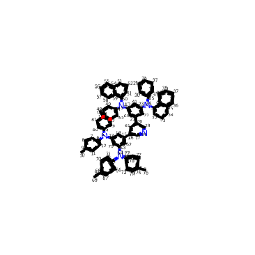 Cc1ccc(N(c2ccc(C)cc2)c2cc(-c3cncc(-c4cc(N(c5ccccc5)c5cccc6ccccc56)cc(N(c5ccccc5)c5cccc6ccccc56)c4)c3)cc(N(c3ccc(C)cc3)c3ccc(C)cc3)c2)cc1